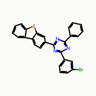 Brc1cccc(-c2nc(-c3ccccc3)nc(-c3ccc4c(c3)sc3ccccc34)n2)c1